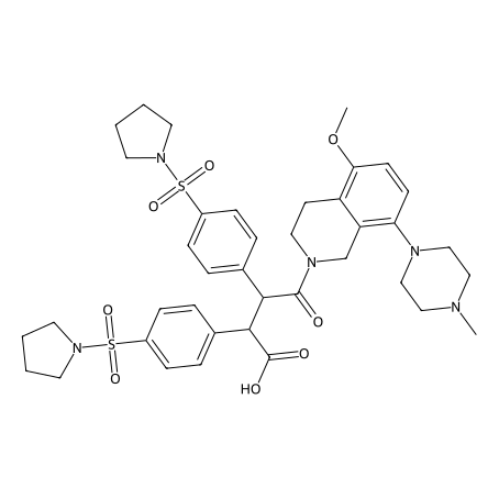 COc1ccc(N2CCN(C)CC2)c2c1CCN(C(=O)C(c1ccc(S(=O)(=O)N3CCCC3)cc1)C(C(=O)O)c1ccc(S(=O)(=O)N3CCCC3)cc1)C2